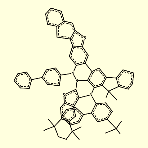 CC(C)(C)c1ccc(N2c3c4c(cc5c3C(C)(C)c3ccccc3-5)-c3cc5sc6cc7ccccc7cc6c5cc3N(c3ccc(-c5ccccc5)cc3)B4c3sc4cc5c(cc4c32)C(C)(C)CCC5(C)C)c(-c2ccccc2)c1